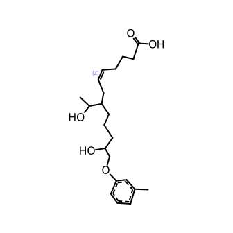 Cc1cccc(OCC(O)CCCC(C/C=C\CCCC(=O)O)C(C)O)c1